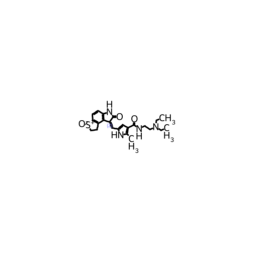 CCN(CC)CCNC(=O)c1cc(/C=C2\C(=O)Nc3ccc4c(c32)CC[S+]4[O-])[nH]c1C